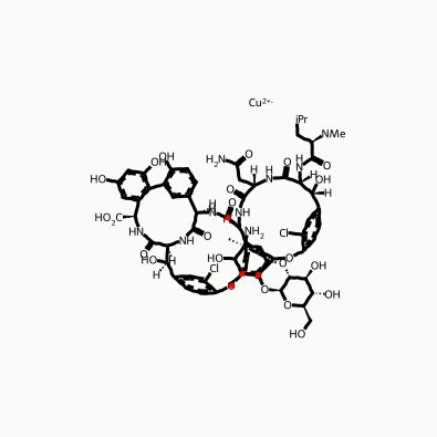 CN[C@H](CC(C)C)C(=O)N[C@H]1C(=O)N[C@@H](CC(N)=O)C(=O)N[C@H]2C(=O)N[C@H]3C(=O)N[C@H](C(=O)N[C@@H](C(=O)O)c4cc(O)cc(O)c4-c4cc3ccc4O)[C@H](O)c3ccc(c(Cl)c3)Oc3cc2cc(c3O[C@@H]2O[C@H](CO)[C@@H](O)[C@H](O)[C@H]2O[C@H]2C[C@](C)(N)C(O)[C@H](C)O2)Oc2ccc(cc2Cl)[C@H]1O.[Cu+2]